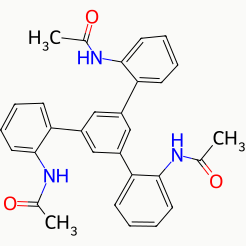 CC(=O)Nc1ccccc1-c1cc(-c2ccccc2NC(C)=O)cc(-c2ccccc2NC(C)=O)c1